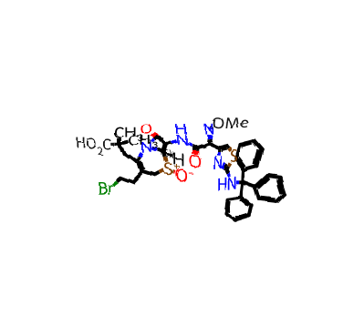 CON=C(C(=O)NC1C(=O)N2C(CC(C)(C)C(=O)O)=C(CCBr)C[S+]([O-])[C@@H]12)c1csc(NC(c2ccccc2)(c2ccccc2)c2ccccc2)n1